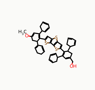 COC1=CC(C2C=CC=CC2)=C(c2cc3sc4cc(C5=C(C6C=CC=CC6)C=C(CO)CC5C5C=CC=CC5)sc4c3s2)C(C2=CCCC=C2)C1